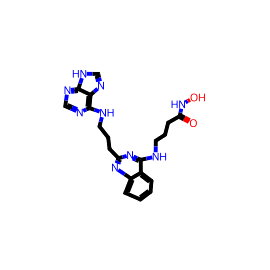 O=C(CCCNc1nc(CCCNc2ncnc3[nH]cnc23)nc2ccccc12)NO